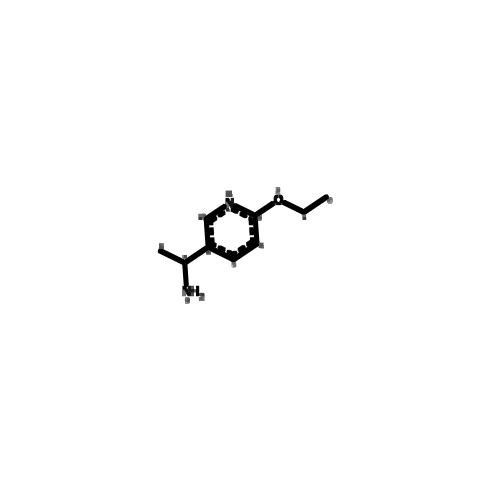 CCOc1ccc(C(C)N)cn1